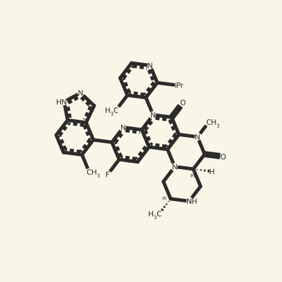 Cc1ccnc(C(C)C)c1-n1c(=O)c2c(c3cc(F)c(-c4c(C)ccc5[nH]ncc45)nc31)N1C[C@@H](C)NC[C@@H]1C(=O)N2C